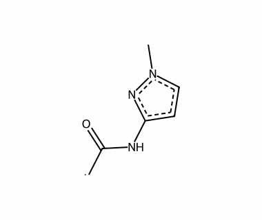 [CH2]C(=O)Nc1ccn(C)n1